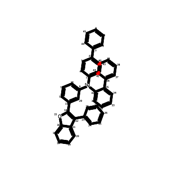 c1ccc(-c2ccc(N(c3cccc(-c4oc5ccccc5c4-c4ccccc4)c3)c3ccccc3-c3ccccc3)cc2)cc1